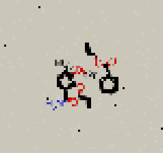 C=CCOC(=O)c1ccccc1.C=CCOc1c(C(N)=O)ccc([N+](=O)[O-])c1OC(C)C